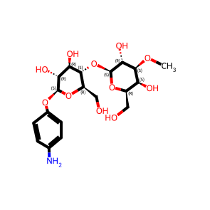 CO[C@H]1[C@@H](O)[C@@H](CO)O[C@@H](O[C@H]2[C@H](O)[C@@H](O)[C@H](Oc3ccc(N)cc3)O[C@@H]2CO)[C@@H]1O